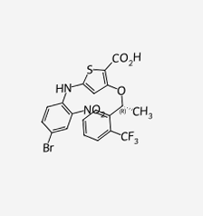 C[C@@H](Oc1cc(Nc2ccc(Br)cc2[N+](=O)[O-])sc1C(=O)O)c1ccccc1C(F)(F)F